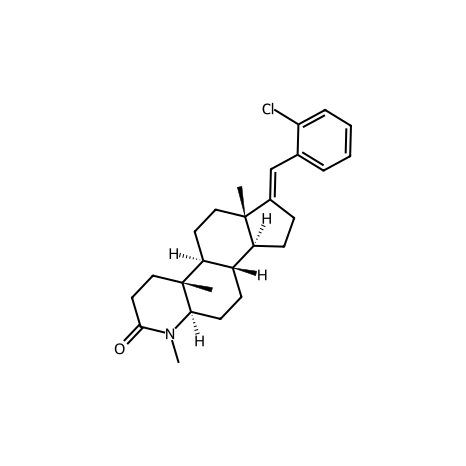 CN1C(=O)CC[C@]2(C)[C@H]3CC[C@]4(C)C(=Cc5ccccc5Cl)CC[C@H]4[C@@H]3CC[C@@H]12